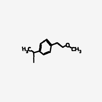 COCCc1ccc(C(C)I)cc1